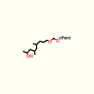 CCCCCOCOCCCC(C)CC(C)CC(C)O